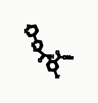 COC(=O)c1cc(Br)ccc1NC(=O)c1ccc(-c2ccnnc2)nn1